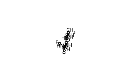 Cc1ccc(NC(=O)NNC(=O)Cc2ccc(Nc3nc(NCc4ccc(F)cc4)nc(NCC4CCCCC4)n3)cc2)cc1